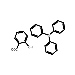 O=C([O-])c1ccccc1O.c1ccc([S+](c2ccccc2)c2ccccc2)cc1